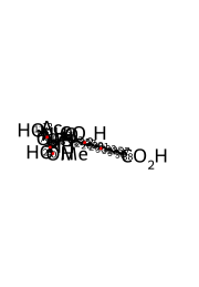 COC(O)[C@H](CCC(=O)N[C@@H](CO)C(C)=O)NC(=O)CC[C@H](NC(=O)CCCCCCCCCCCCCCCCC(=O)O)C(=O)O